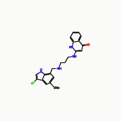 CSc1cc(CNCCCNc2cc(=O)c3ccccc3[nH]2)c2[nH]cc(Cl)c2c1